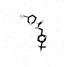 N[C@H]1CC[C@H](C(=O)NCc2ccc(C(F)(F)F)cn2)OC1